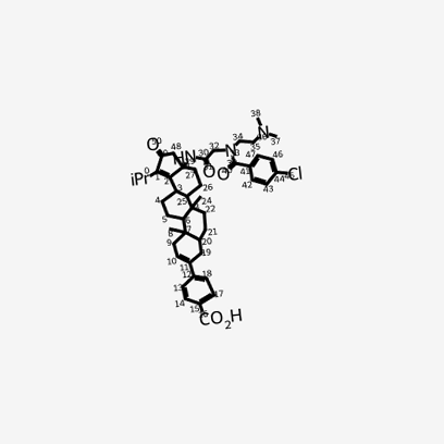 CC(C)C1=C2C3CCC4C5(C)CC=C(c6ccc(C(=O)O)cc6)CC5CCC4(C)C3CCC2(NC(=O)CN(CCN(C)C)C(=O)c2ccc(Cl)cc2)CC1=O